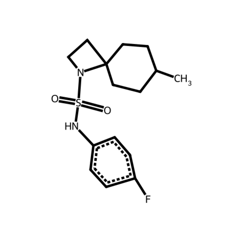 CC1CCC2(CC1)CCN2S(=O)(=O)Nc1ccc(F)cc1